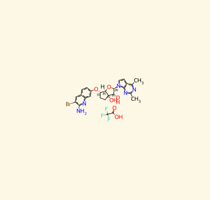 Cc1nc(C)c2ccn([C@@H]3O[C@@H]4[C@@H](Oc5ccc6cc(Br)c(N)nc6c5)CC[C@]4(O)[C@H]3O)c2n1.O=C(O)C(F)(F)F